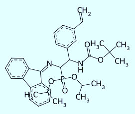 C=Cc1cccc(C(NC(=O)OC(C)(C)C)C(N=C2c3ccccc3-c3ccccc32)P(=O)(OC(C)C)OC(C)C)c1